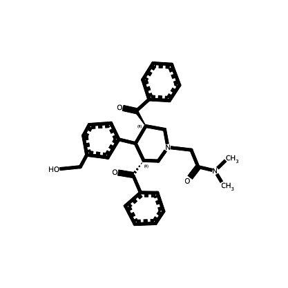 CN(C)C(=O)CN1C[C@H](C(=O)c2ccccc2)C(c2cccc(CO)c2)[C@@H](C(=O)c2ccccc2)C1